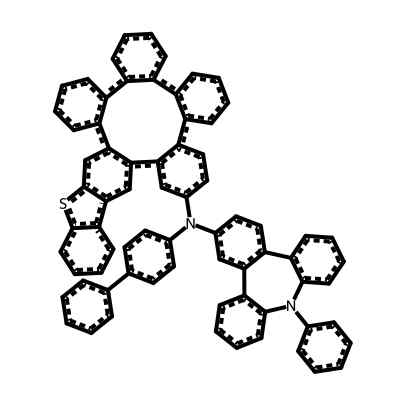 c1ccc(-c2ccc(N(c3ccc4c(c3)-c3ccccc3N(c3ccccc3)c3ccccc3-4)c3ccc4c5ccccc5c5ccccc5c5ccccc5c5cc6sc7ccccc7c6cc5c4c3)cc2)cc1